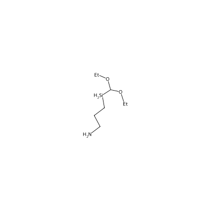 CCOC(OCC)[SiH2]CCCN